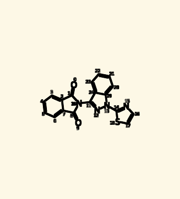 O=C1c2ccccc2C(=O)N1c1nn(-c2nccs2)c2ccccc12